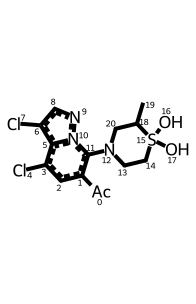 CC(=O)c1cc(Cl)c2c(Cl)cnn2c1N1CCS(O)(O)C(C)C1